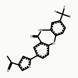 CC(=O)c1csc(-c2ccc3c(c2)C(=O)Nc2cc(C(F)(F)F)ccc2O3)c1